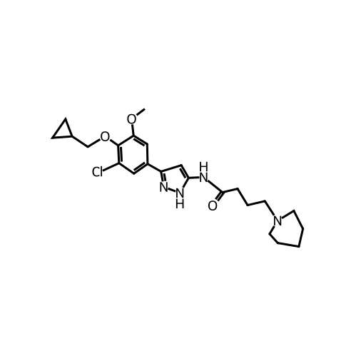 COc1cc(-c2cc(NC(=O)CCCN3CCCCC3)[nH]n2)cc(Cl)c1OCC1CC1